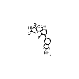 Nc1nc2ccc(-c3ccc(O)c(N4CC(=O)NS4(=O)=O)c3F)cc2s1